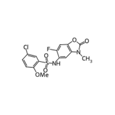 COc1ccc(Cl)cc1S(=O)(=O)Nc1cc2c(cc1F)oc(=O)n2C